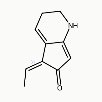 C/C=C1\C(=O)C=C2NCCC=C21